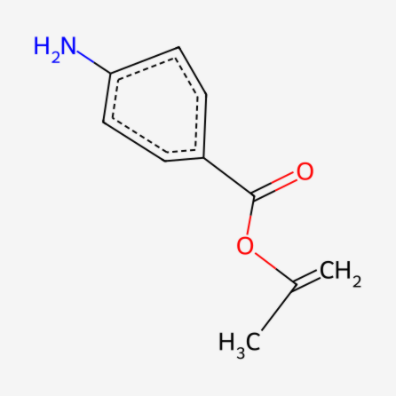 C=C(C)OC(=O)c1ccc(N)cc1